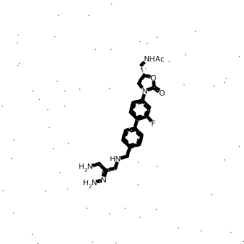 CC(=O)NC[C@H]1CN(c2ccc(-c3ccc(CNC/C(CN)=N/N)cc3)c(F)c2)C(=O)O1